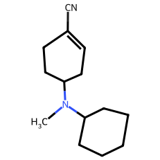 CN(C1CC=C(C#N)CC1)C1CCCCC1